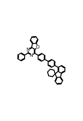 c1ccc(-c2nc(-c3ccc(-c4ccc(-c5cccc6c5C5(CCCCC5)c5ccccc5-6)cc4)cc3)c3oc4ccccc4c3n2)cc1